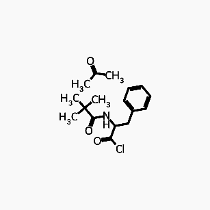 CC(C)(C)C(=O)NC(Cc1ccccc1)C(=O)Cl.CC(C)=O